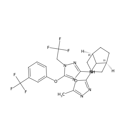 Cc1nnc(N2C[C@H]3CC[C@@H](C2)C3Nc2nc(Oc3cccc(C(F)(F)F)c3)n(CC(F)(F)F)n2)o1